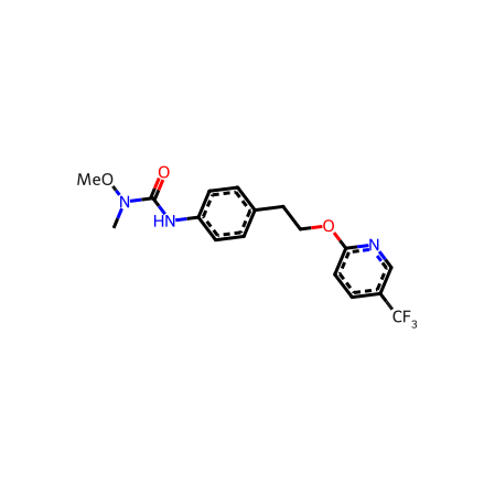 CON(C)C(=O)Nc1ccc(CCOc2ccc(C(F)(F)F)cn2)cc1